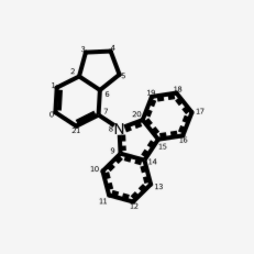 C1=CC2CCCC2C(n2c3ccccc3c3ccccc32)=C1